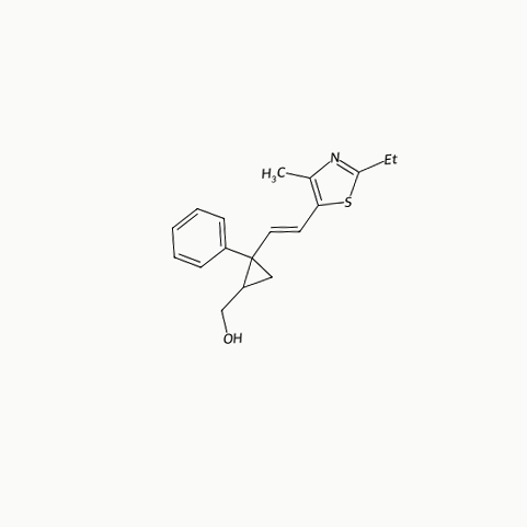 CCc1nc(C)c(C=CC2(c3ccccc3)CC2CO)s1